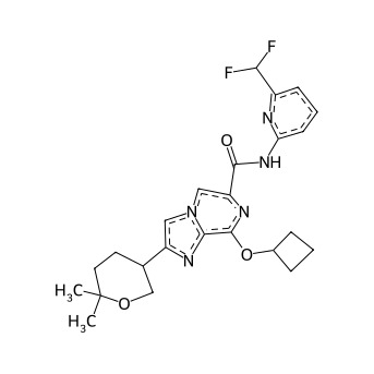 CC1(C)CCC(c2cn3cc(C(=O)Nc4cccc(C(F)F)n4)nc(OC4CCC4)c3n2)CO1